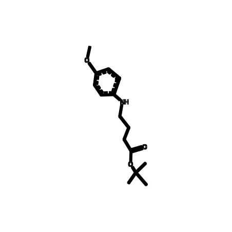 COc1ccc(NCCCC(=O)OC(C)(C)C)cc1